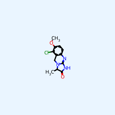 COc1ccc2c(c1Cl)CN1C(=N2)NC(=O)C1C